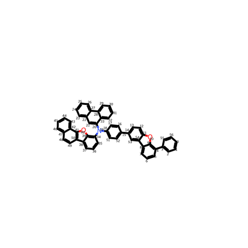 c1ccc(-c2cccc3c2oc2ccc(-c4ccc(N(c5cc6ccccc6c6ccccc56)c5cccc6c5oc5c7ccccc7ccc65)cc4)cc23)cc1